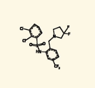 O=S(=O)(Nc1cc(C(F)(F)F)ccc1CN1CCC(F)(F)C1)c1cccc(Cl)c1Cl